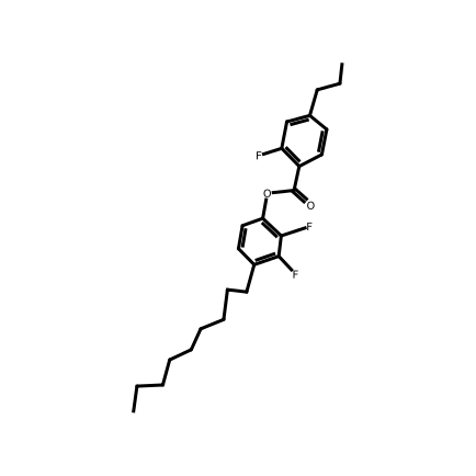 CCCCCCCCCc1ccc(OC(=O)c2ccc(CCC)cc2F)c(F)c1F